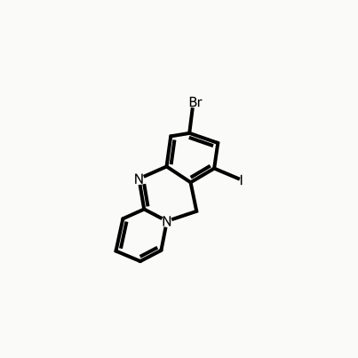 Brc1cc(I)c2c(c1)N=C1C=CC=CN1C2